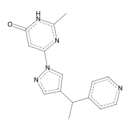 Cc1nc(-n2cc(C(C)c3ccncc3)cn2)cc(=O)[nH]1